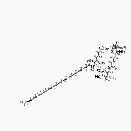 CC#CC#CC#CC#CC#CC#CC#CC#CC#CC#CC#CC#CC(=O)N[C@@H](COC1OC(CNC(=O)CCCC[C@@H]2SC[C@@H]3NC(=O)N[C@@H]32)C(O)C(O)C1O)[C@H](O)[C@H](O)CCCCCCCCCCCCCC